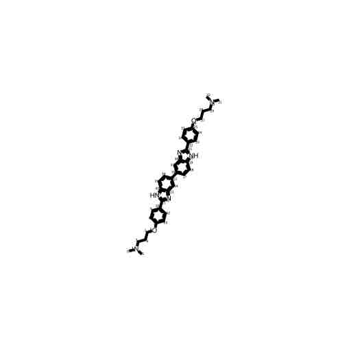 CN(C)CCCOc1ccc(-c2nc3cc(-c4ccc5[nH]c(-c6ccc(OCCCN(C)C)cc6)nc5c4)ccc3[nH]2)cc1